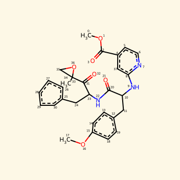 COC(=O)c1ccnc(NC(Cc2ccc(OC)cc2)C(=O)NC(Cc2ccccc2)C(=O)C2(C)CO2)c1